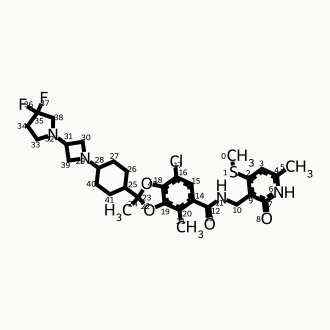 CSc1cc(C)[nH]c(=O)c1CNC(=O)c1cc(Cl)c2c(c1C)OC(C)(C1CCC(N3CC(N4CCC(F)(F)C4)C3)CC1)O2